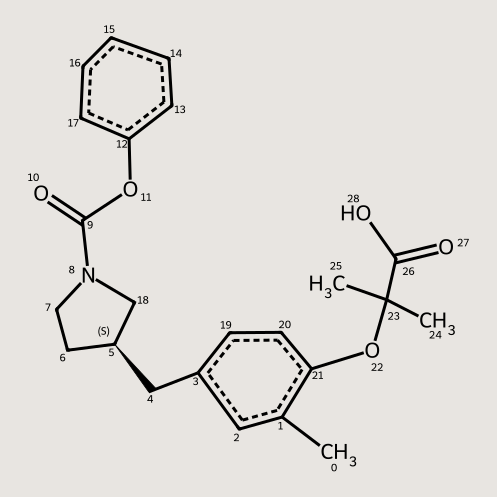 Cc1cc(C[C@H]2CCN(C(=O)Oc3ccccc3)C2)ccc1OC(C)(C)C(=O)O